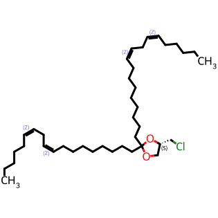 CCCCC/C=C\C/C=C\CCCCCCCCC1(CCCCCCCC/C=C\C/C=C\CCCCC)OC[C@@H](CCl)O1